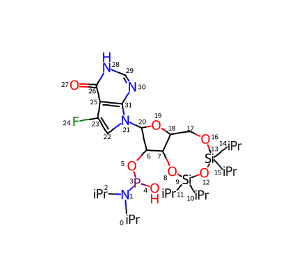 CC(C)N(C(C)C)P(O)OC1C2O[Si](C(C)C)(C(C)C)O[Si](C(C)C)(C(C)C)OCC2OC1n1cc(F)c2c(=O)[nH]cnc21